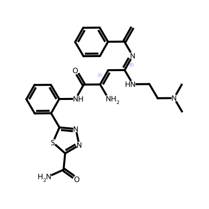 C=C(/N=C(\C=C(/N)C(=O)Nc1ccccc1-c1nnc(C(N)=O)s1)NCCN(C)C)c1ccccc1